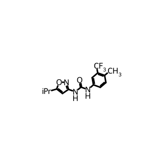 Cc1ccc(NC(=O)Nc2cc(C(C)C)on2)cc1C(F)(F)F